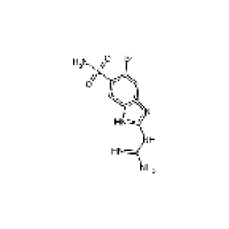 N=C(N)Nc1nc2cc(Br)c(S(N)(=O)=O)cc2[nH]1